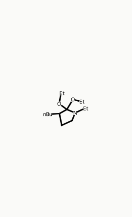 CCCCC1CCN(CC)C1(OCC)OCC